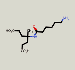 CC(CCC(=O)O)(CCC(=O)O)NC(=O)CCCCCN